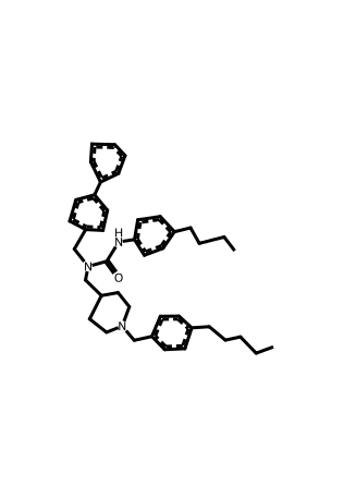 CCCCCc1ccc(CN2CCC(CN(Cc3ccc(-c4ccccc4)cc3)C(=O)Nc3ccc(CCCC)cc3)CC2)cc1